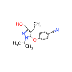 CCc1c(CO)nn(C(C)C)c1Oc1ccc(C#N)cc1